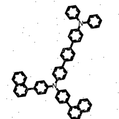 c1ccc(N(c2ccccc2)c2ccc(-c3ccc(-c4ccc(N(c5ccc(-c6cccc7ccccc67)cc5)c5ccc(-c6cccc7ccccc67)cc5)cc4)cc3)cc2)cc1